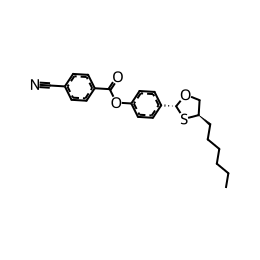 CCCCCC[C@@H]1CO[C@@H](c2ccc(OC(=O)c3ccc(C#N)cc3)cc2)S1